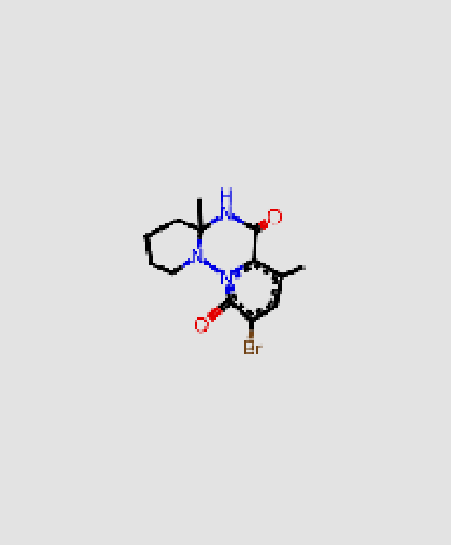 Cc1cc(Br)c(=O)n2c1C(=O)NC1(C)CCCCN21